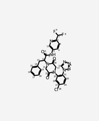 O=C(Nc1ccc(C(F)F)nc1)C(Cc1ccccc1)N1CC(=O)N(c2cc(Cl)ccc2-n2cnnn2)CC1=O